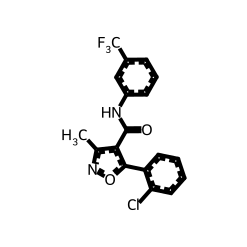 Cc1noc(-c2ccccc2Cl)c1C(=O)Nc1cccc(C(F)(F)F)c1